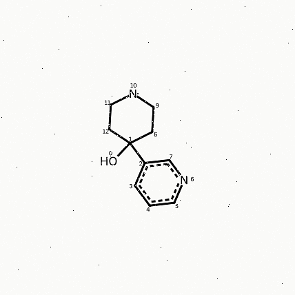 OC1(c2cccnc2)CC[N]CC1